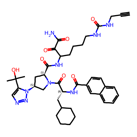 C#CCNC(=O)NCCCCC(NC(=O)[C@@H]1C[C@H](n2nncc2C(C)(C)O)CN1C(=O)[C@@H](CC1CCCCC1)NC(=O)c1ccc2ccccc2c1)C(=O)C(N)=O